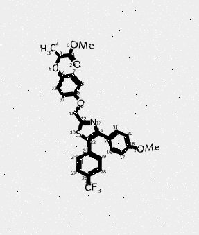 COC(=O)C(C)Oc1ccc(OCc2nc(-c3ccc(OC)cc3)c(-c3ccc(C(F)(F)F)cc3)s2)cc1